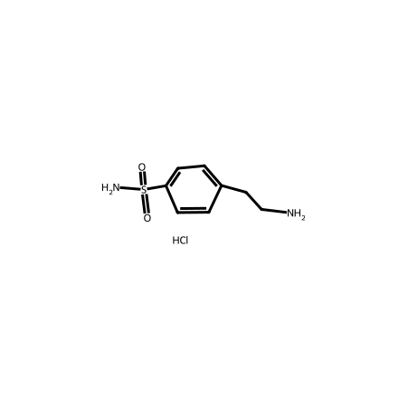 Cl.NCCc1ccc(S(N)(=O)=O)cc1